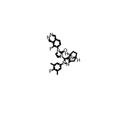 Cc1cc(-n2nc3c(c2-n2ccn(-c4ccc5cnncc5c4F)c2=O)[C@@H]2CC[C@H](C3)N2)cc(C)c1F